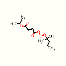 CCCC(C)(C)OOOC(=O)C=CC(=O)OC(C)C